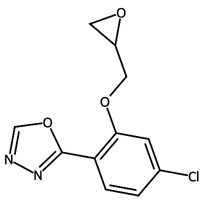 Clc1ccc(-c2nnco2)c(OCC2CO2)c1